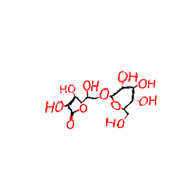 O=C1O[C@H](C(O)CO[C@H]2O[C@H](CO)[C@@H](O)[C@H](O)[C@H]2O)C(O)=C1O